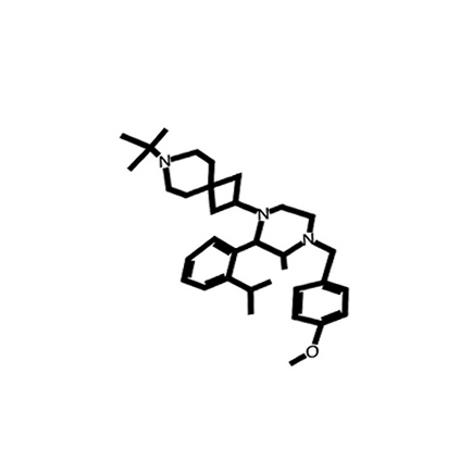 COc1ccc(CN2CCN(C3CC4(CCN(C(C)(C)C)CC4)C3)C(c3ccccc3C(C)C)C2C)cc1